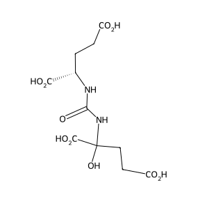 O=C(O)CC[C@H](NC(=O)NC(O)(CCC(=O)O)C(=O)O)C(=O)O